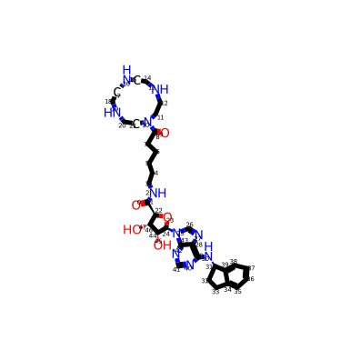 O=C(NCCCCCC(=O)N1CCNCCNCCNCC1)[C@H]1O[C@@H](n2cnc3c(N[C@H]4CCc5ccccc54)ncnc32)[C@H](O)[C@@H]1O